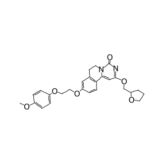 COc1ccc(OCCOc2ccc3c(c2)CCn2c-3cc(OCC3CCCO3)nc2=O)cc1